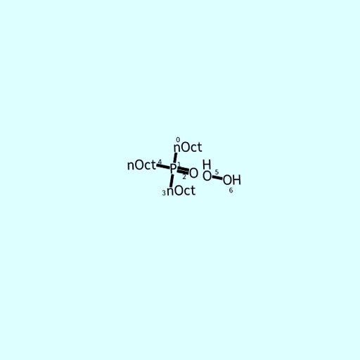 CCCCCCCCP(=O)(CCCCCCCC)CCCCCCCC.OO